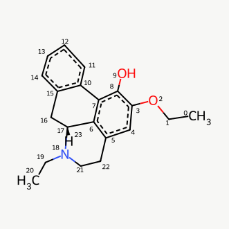 CCOc1cc2c3c(c1O)-c1ccccc1C[C@H]3N(CC)CC2